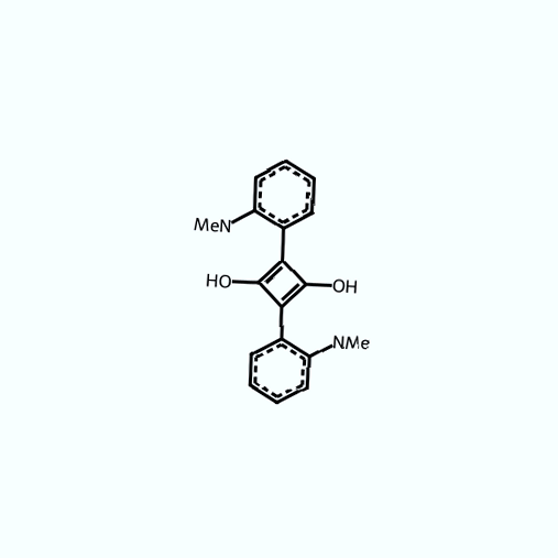 CNc1ccccc1C1=C(O)C(c2ccccc2NC)=C1O